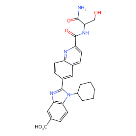 NC(=O)C(CO)NC(=O)c1ccc2cc(-c3nc4cc(C(=O)O)ccc4n3C3CCCCC3)ccc2n1